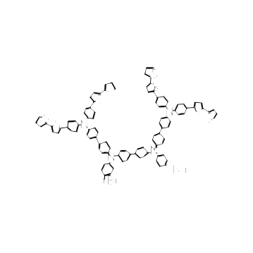 CC(C)(C)c1ccc(N(c2ccc(-c3ccc(N(c4ccc(-c5ccc(-c6cccs6)s5)cc4)c4ccc(-c5ccc(-c6cccs6)s5)cc4)cc3)cc2)c2ccc(-c3ccc(N(c4ccc(-c5ccc(N(c6ccc(-c7ccc(-c8cccs8)s7)cc6)c6ccc(-c7ccc(-c8cccs8)s7)cc6)cc5)cc4)c4ccc(C(C)(C)C)cc4)cc3)cc2)cc1